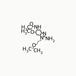 CC(C)OCCCn1c(N)nc2cc3c(cc21)OC(C)(C)C(=O)N3